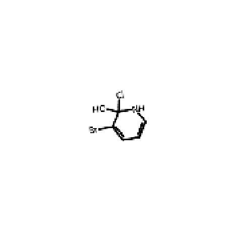 OC1(Cl)NC=CC=C1Br